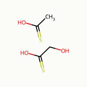 CC(O)=S.OCC(O)=S